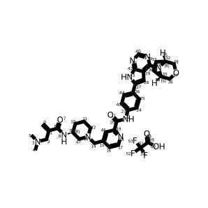 C=C(CN(C)C)C(=O)N[C@@H]1CCCN(Cc2ccnc(C(=O)Nc3ccc(-c4cc5c(N6[C@@H]7CC[C@H]6COC7)ncnc5[nH]4)cc3)c2)C1.O=C(O)C(F)(F)F